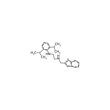 CC(C)c1cccc(C(C)C)c1NCCNCc1cc2ccccc2s1